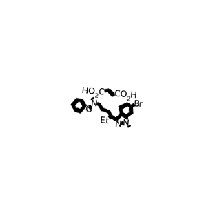 CCC(CCCN(C)Oc1ccccc1)c1nn(C)c2cc(Br)ccc12.O=C(O)C=CC(=O)O